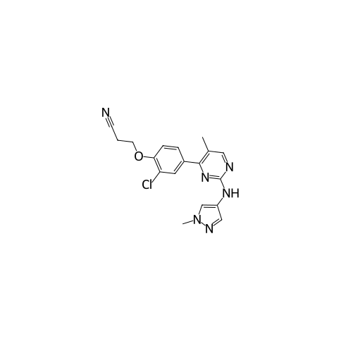 Cc1cnc(Nc2cnn(C)c2)nc1-c1ccc(OCCC#N)c(Cl)c1